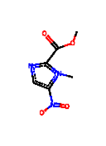 COC(=O)c1ncc([N+](=O)[O-])n1C